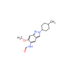 COc1cc2nn(C3CCC(C)CC3)cc2cc1NC=O